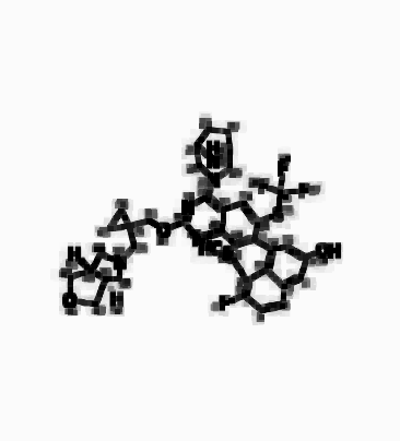 C#Cc1c(F)ccc2cc(O)cc(-c3c(SC(F)(F)F)cc4c(N5CC6CCC(C5)N6)nc(OCC5(CN6C[C@H]7COC[C@@H]7C6)CC5)nc4c3F)c12